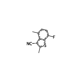 Cc1sc2c(F)ccc(C)c2c1C#N